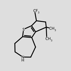 CC1(C)CC(C(F)(F)F)c2sc3c(c21)CCNCC3